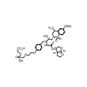 COc1ccc2c(c1)C(C)CN(C[C@@H](O)[C@H](Cc1ccc(OCCOCP(=O)(O)OCC(=O)O)cc1)NC(=O)O[C@H]1CO[C@H]3OCC[C@H]31)S2(=O)=O